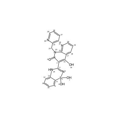 O=c1c(C2=NS(O)(O)c3ccccc3N2)c(O)c2cccnc2n1Cc1ccccn1